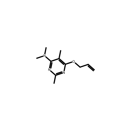 C=CCOc1nc(C)nc(N(C)C)c1C